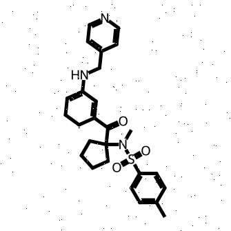 Cc1ccc(S(=O)(=O)N(C)C2(C(=O)C3=CC(NCc4ccncc4)=CC[CH]3)CCCC2)cc1